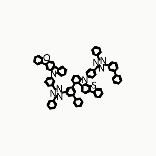 c1ccc(-c2cccc(-c3nc(-c4ccccc4)nc(-c4ccc(-n5c6cccc(-c7cc(-c8ccccc8)cc(-c8nc(-c9ccccc9)nc(-c9cccc(-n%10c%11ccccc%11c%11cc%12oc%13ccccc%13c%12cc%11%10)c9)n8)c7)c6c6ccc7c8ccccc8sc7c65)cc4)n3)c2)cc1